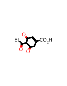 CCC(=O)C1C(=O)C=C(C(=O)O)CC1=O